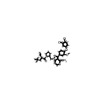 COc1cc(-c2nn(CC3CCCN3C(=O)C(C#N)=CC(C)(C)C)c3ncnc(N)c23)ccc1Oc1ccc(Cl)c(Cl)c1